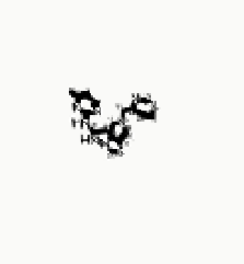 Cc1ccnc(NC2=CC34CCN(Cc5ccncn5)CC=C3SCN4N2)n1